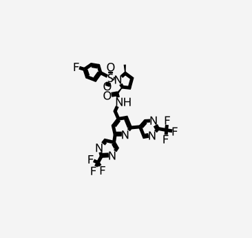 C[C@H]1CC[C@@H](C(=O)NCc2cc(-c3cnc(C(F)(F)F)nc3)nc(-c3cnc(C(F)(F)F)nc3)c2)N1S(=O)(=O)c1ccc(F)cc1